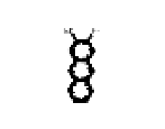 CCc1[c]c2cc3ccccc3cc2cc1CC